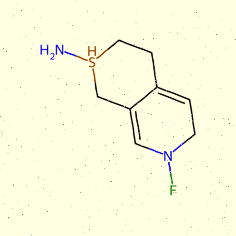 N[SH]1CCC2=CCN(F)C=C2C1